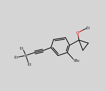 CCOC1(c2ccc(C#C[Si](CC)(CC)CC)cc2C(C)(C)C)CC1